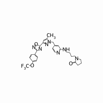 Cc1cc(-c2nc(-c3ccc(OC(F)(F)F)cc3)no2)nn1Cc1ccnc(NCCCCN2CCCC2=O)c1